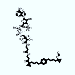 CC(C)(COP(=O)(O)OP(=O)(O)OCC1OC(n2cnc3c(N)ncnc32)C(O)C1OP(=O)(O)O)C(O)C(=O)NCCC(=O)NCCC(=O)C1(CCCCc2ccc(CCCCC3(OC=O)CC3)cc2)CC1